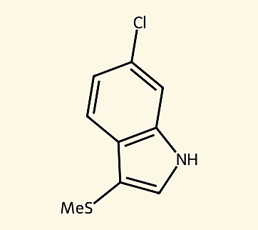 CSc1c[nH]c2cc(Cl)ccc12